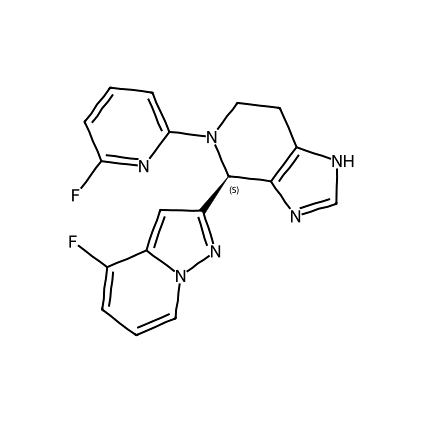 Fc1cccc(N2CCc3[nH]cnc3[C@H]2c2cc3c(F)cccn3n2)n1